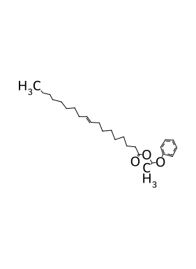 CCCCCCCCC=CCCCCCCCC(=O)OC(C)Oc1ccccc1